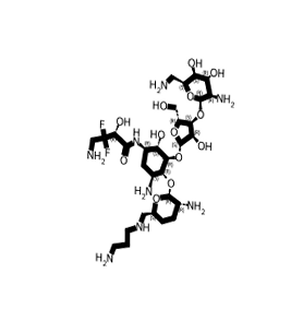 NCCCNC[C@@H]1CC[C@@H](N)[C@@H](O[C@H]2[C@H](O[C@@H]3O[C@H](CO)[C@@H](O[C@H]4O[C@@H](CN)[C@@H](O)[C@H](O)[C@H]4N)[C@H]3O)[C@@H](O)[C@H](NC(=O)[C@@H](O)C(F)(F)CN)C[C@@H]2N)O1